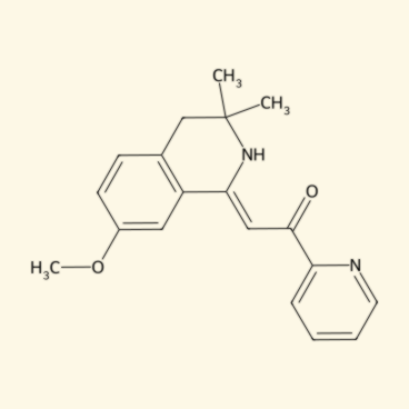 COc1ccc2c(c1)C(=CC(=O)c1ccccn1)NC(C)(C)C2